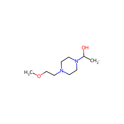 [CH2]C(O)N1CCN(CCOC)CC1